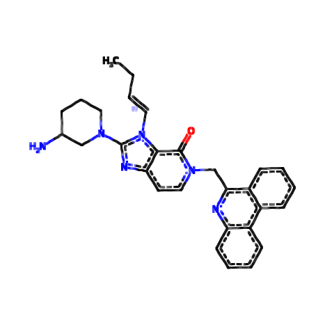 CC/C=C/n1c(N2CCCC(N)C2)nc2ccn(Cc3nc4ccccc4c4ccccc34)c(=O)c21